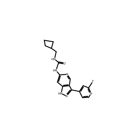 O=C(NCC1CCC1)Nc1cc2[nH]nc(-c3ccnc(F)c3)c2cn1